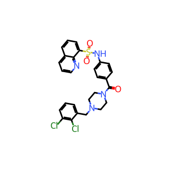 O=C(c1ccc(NS(=O)(=O)c2cccc3cccnc23)cc1)N1CCN(Cc2cccc(Cl)c2Cl)CC1